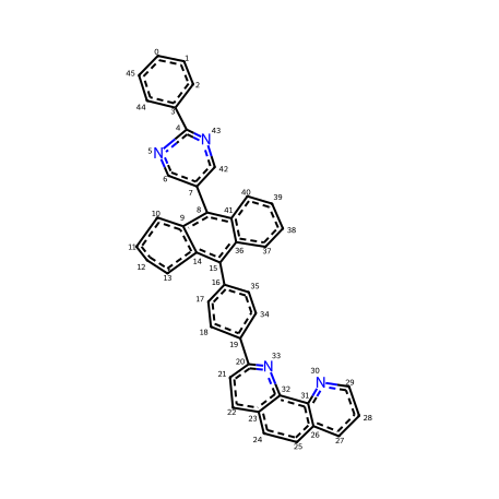 c1ccc(-c2ncc(-c3c4ccccc4c(-c4ccc(-c5ccc6ccc7cccnc7c6n5)cc4)c4ccccc34)cn2)cc1